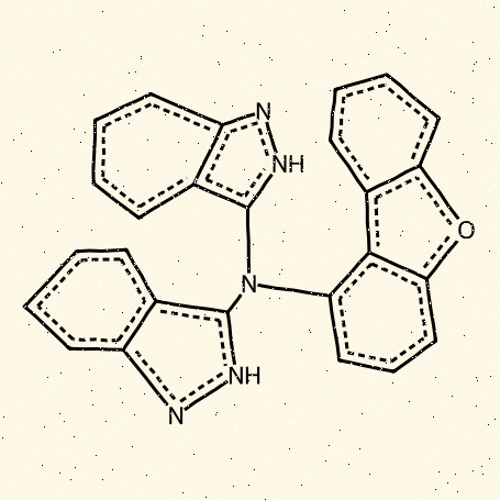 c1ccc2c(N(c3[nH]nc4ccccc34)c3cccc4oc5ccccc5c34)[nH]nc2c1